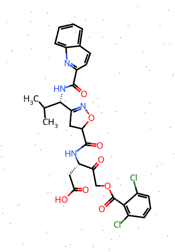 CC(C)[C@H](NC(=O)c1ccc2ccccc2n1)C1=NOC(C(=O)N[C@@H](CC(=O)O)C(=O)COC(=O)c2c(Cl)cccc2Cl)C1